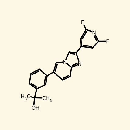 CC(C)(O)c1cccc(-c2ccc3nc(-c4cc(F)nc(F)c4)cn3c2)c1